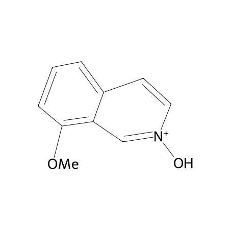 COc1cccc2cc[n+](O)cc12